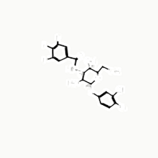 O=C(N[C@@H]1C(O)[C@@H](Sc2ccc(Cl)c(Cl)c2)OC(CO)[C@@H]1O)c1cc(F)c(F)c(F)c1